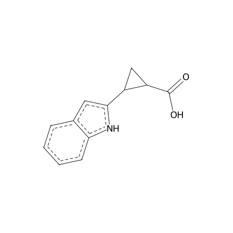 O=C(O)C1CC1c1cc2ccccc2[nH]1